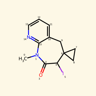 CN1C(=O)C(I)C2(CC2)Cc2cccnc21